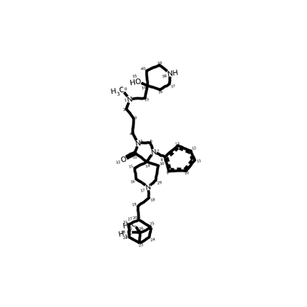 CN(CCCN1CN(c2ccccc2)C2(CCN(CCC3CCC4CC3C4(C)C)CC2)C1=O)CC1(O)CCNCC1